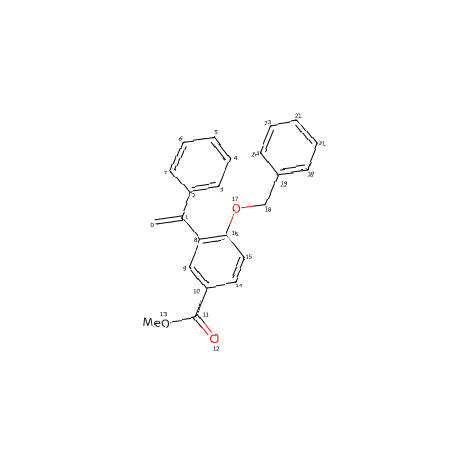 C=C(c1ccccc1)c1cc(C(=O)OC)ccc1OCc1ccccc1